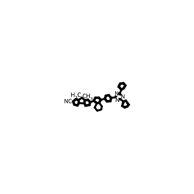 CC1(C)c2cc(C#N)ccc2-c2ccc(-c3ccc(-c4ccc(-c5nc(-c6ccccc6)nc(-c6ccccc6)n5)cc4)c4c3CCCC4)cc21